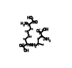 CC(C)CC(N)C(=O)O.NC(CSSCC(N)C(=O)O)C(=O)O